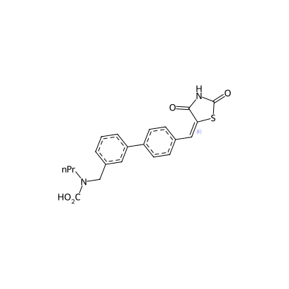 CCCN(Cc1cccc(-c2ccc(/C=C3/SC(=O)NC3=O)cc2)c1)C(=O)O